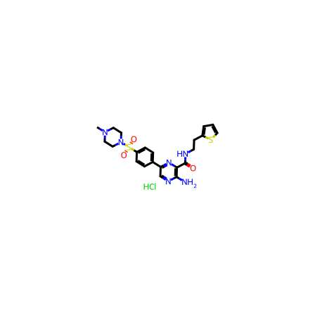 CN1CCN(S(=O)(=O)c2ccc(-c3cnc(N)c(C(=O)NCCc4cccs4)n3)cc2)CC1.Cl